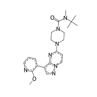 COc1ncccc1-c1cnn2ccc(N3CCN(C(=O)N(C)C(C)(C)C)CC3)nc12